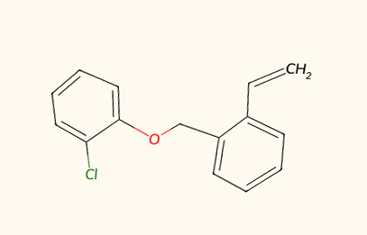 C=Cc1ccccc1COc1ccccc1Cl